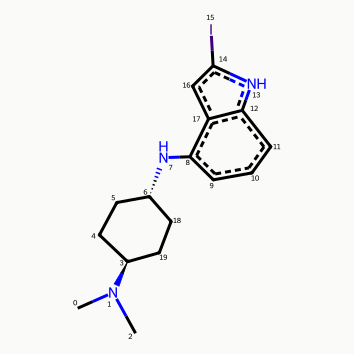 CN(C)[C@H]1CC[C@H](Nc2cccc3[nH]c(I)cc23)CC1